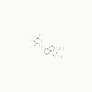 Nc1ccc2c(CNc3nc(F)nc(F)c3Cl)cccc2c1S(=O)(=O)O